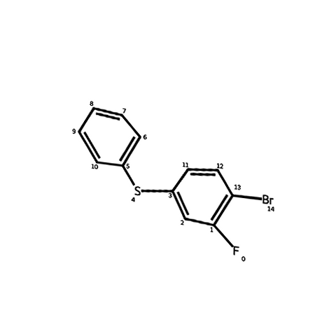 Fc1cc(Sc2ccccc2)ccc1Br